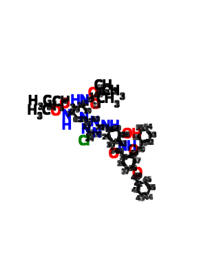 CC(C)(C)OC(=O)NC1CC(NC(=O)OC(C)(C)C)CN(c2nc(Cl)nc(Nc3ccc(NC(=O)c4ccc(OCc5ccccc5)cc4OCc4ccccc4)c(O)c3)n2)C1